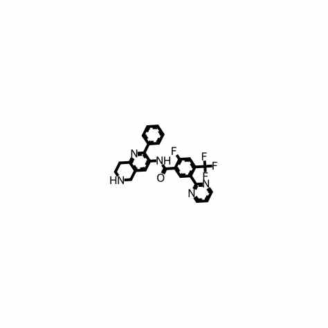 O=C(Nc1cc2c(nc1-c1ccccc1)CCNC2)c1cc(-c2ncccn2)c(C(F)(F)F)cc1F